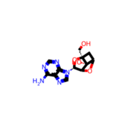 Nc1ncnc2c1ncn2[C@@H]1O[C@@]2(CO)CC3OC1[C@]32O